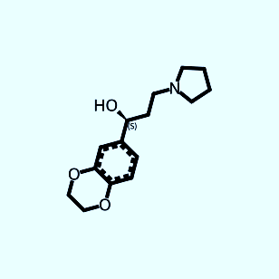 O[C@@H](CCN1CCCC1)c1ccc2c(c1)OCCO2